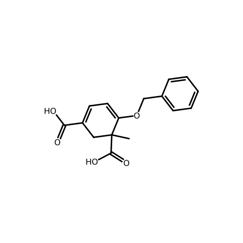 CC1(C(=O)O)CC(C(=O)O)=CC=C1OCc1ccccc1